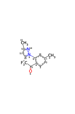 Cc1ccc(C(=O)C(F)(F)F)c(-n2ccc(C)n2)c1